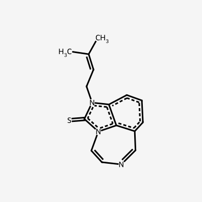 CC(C)=CCn1c(=S)n2c3c(cccc31)C=NC=C2